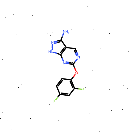 Nc1n[nH]c2nc(Oc3ccc(F)cc3F)ncc12